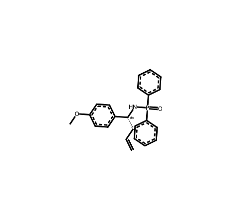 C=CC[C@@H](NP(=O)(c1ccccc1)c1ccccc1)c1ccc(OC)cc1